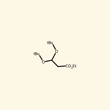 CCOC(=O)CC(OC(C)(C)C)OC(C)(C)C